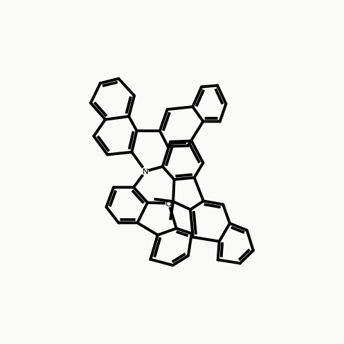 CC1(C)c2cc3ccccc3cc2-c2cccc(N(c3ccc4ccccc4c3-c3ccc4ccccc4c3)c3cccc4c3oc3ccccc34)c21